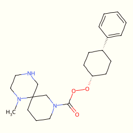 CN1CCNCC12CCCN(C(=O)OO[C@H]1CC[C@@H](c3ccccc3)CC1)C2